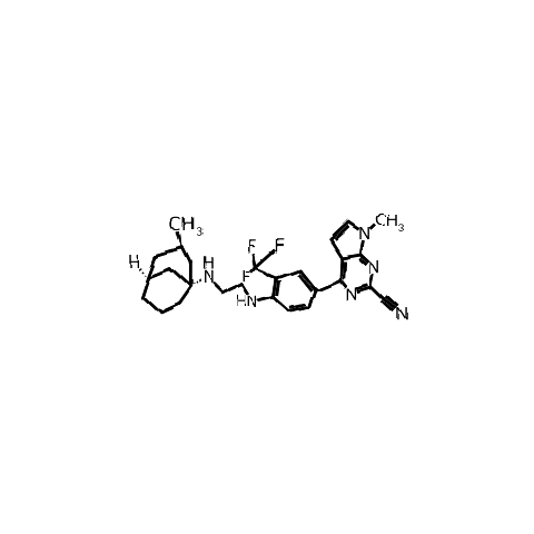 C[C@@H]1C[C@@H]2CCC[C@](NCCNc3ccc(-c4nc(C#N)nc5c4ccn5C)cc3C(F)(F)F)(C1)C2